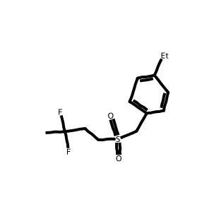 CCc1ccc(CS(=O)(=O)CCC(C)(F)F)cc1